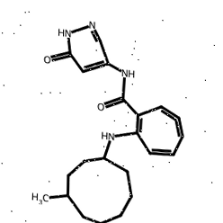 CC1CCCCCC(NC2=C(C(=O)Nc3cn[nH]c(=O)c3)C=C=CC=C2)CC1